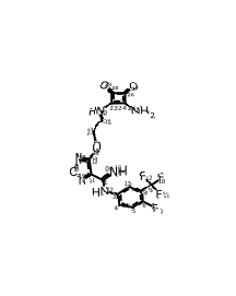 N=C(Nc1ccc(F)c(C(F)(F)F)c1)c1nonc1OCCNc1c(N)c(=O)c1=O